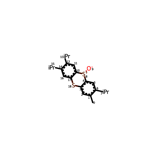 Cc1cc2c(cc1C(C)C)[S+]([O-])c1cc(C(C)C)c(C(C)C)cc1S2